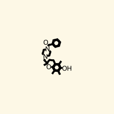 Cc1c(C)c2c(c(C)c1O)CCC(C)(CN1CCN(C(=O)c3ccccc3)CC1)O2